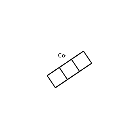 C12C3C4C1C1C2C3C41.[Co]